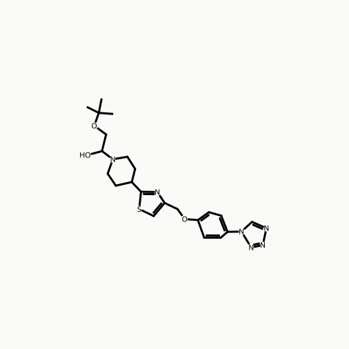 CC(C)(C)OCC(O)N1CCC(c2nc(COc3ccc(-n4cnnn4)cc3)cs2)CC1